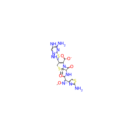 CO/N=C(\C(=O)NC1C(=O)N2C(C(=O)[O-])=C(CSc3nc(N)c(N)c[n+]3N)CS[C@H]12)c1csc(N)n1